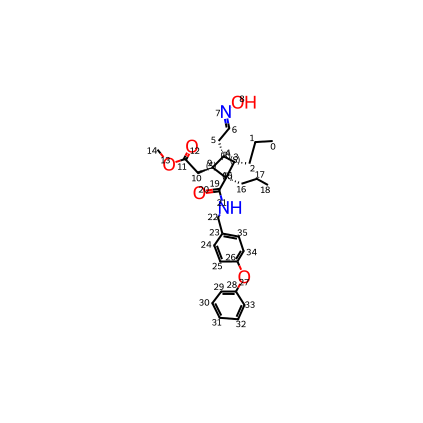 CCC[C@H]1[C@@H](CC=NO)[C@H](CC(=O)OC)[C@]1(CCC)C(=O)NCc1ccc(Oc2ccccc2)cc1